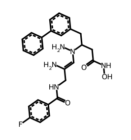 N/C(=C\N(N)C(CC(=O)NO)Cc1cccc(-c2ccccc2)c1)CNC(=O)c1ccc(F)cc1